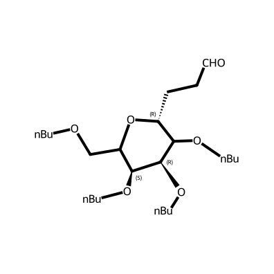 CCCCOCC1O[C@H](CCC=O)C(OCCCC)[C@@H](OCCCC)[C@H]1OCCCC